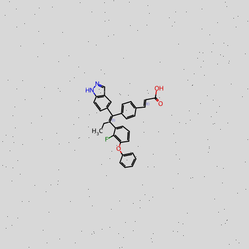 CC/C(=C(/c1ccc(/C=C/C(=O)O)cc1)c1ccc2[nH]ncc2c1)c1cccc(Oc2ccccc2)c1F